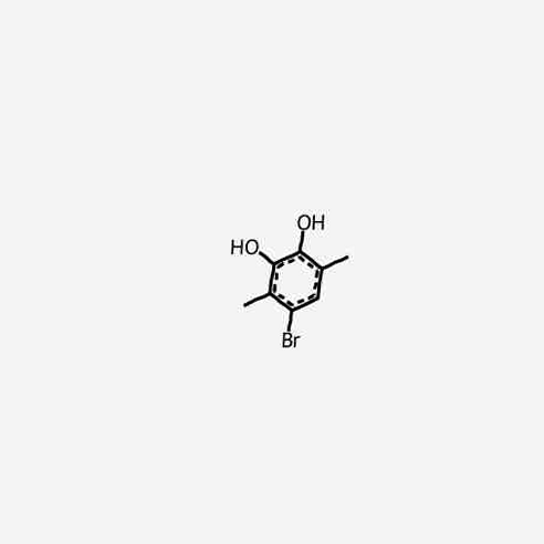 Cc1cc(Br)c(C)c(O)c1O